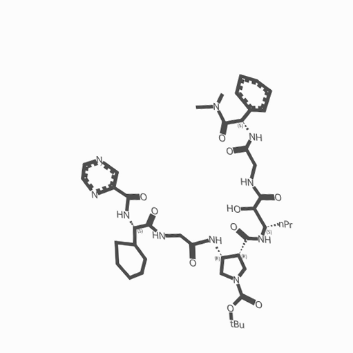 CCC[C@H](NC(=O)[C@@H]1CN(C(=O)OC(C)(C)C)C[C@@H]1NC(=O)CNC(=O)[C@@H](NC(=O)c1cnccn1)C1CCCCC1)C(O)C(=O)NCC(=O)N[C@H](C(=O)N(C)C)c1ccccc1